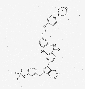 O=C1Nc2cc(CCOc3ccc(N4CCOCC4)cc3)ccc2Nc2cc(-c3cn(Cc4cccc(OC(F)(F)F)c4)c4cnccc34)ccc21